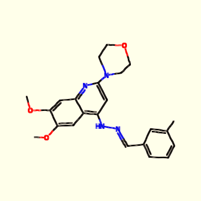 COc1cc2nc(N3CCOCC3)cc(N/N=C/c3cccc(C)c3)c2cc1OC